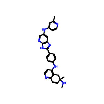 CNC1(C)C=Cc2nccc(Nc3ccc(-c4nc5cc(Nc6ccnc(C)c6)cnc5[nH]4)cc3)c2C1